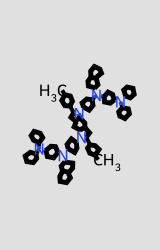 Cc1ccc(-c2cc3cc4c(cc(-c5ccc(C)cc5)n4-c4ccc(N(c5ccc(N(c6ccccc6)c6ccccc6)cc5)c5ccc6ccccc6c5)cc4)cc3n2-c2ccc(N(c3ccc(N(c4ccccc4)c4ccccc4)cc3)c3ccc4ccccc4c3)cc2)cc1